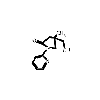 CC1(CO)CC(=O)N(c2ccccn2)C1